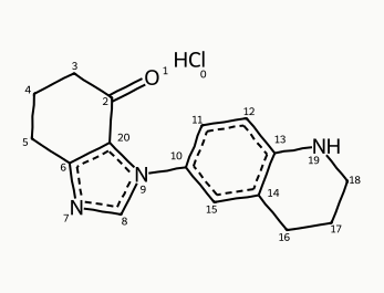 Cl.O=C1CCCc2ncn(-c3ccc4c(c3)CCCN4)c21